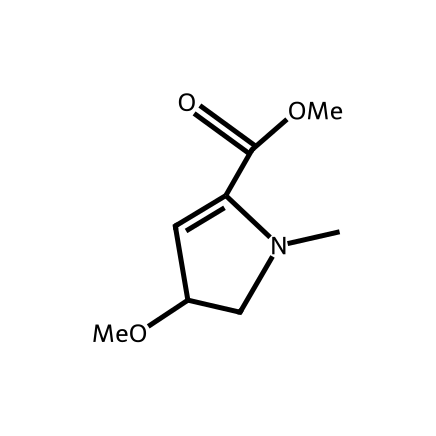 COC(=O)C1=CC(OC)CN1C